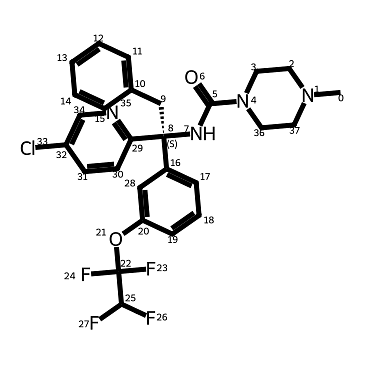 CN1CCN(C(=O)N[C@@](Cc2ccccc2)(c2cccc(OC(F)(F)C(F)F)c2)c2ccc(Cl)cn2)CC1